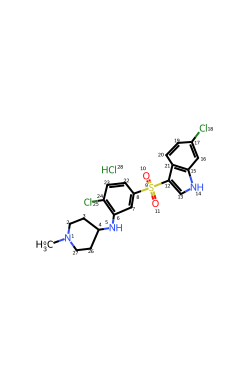 CN1CCC(Nc2cc(S(=O)(=O)c3c[nH]c4cc(Cl)ccc34)ccc2Cl)CC1.Cl